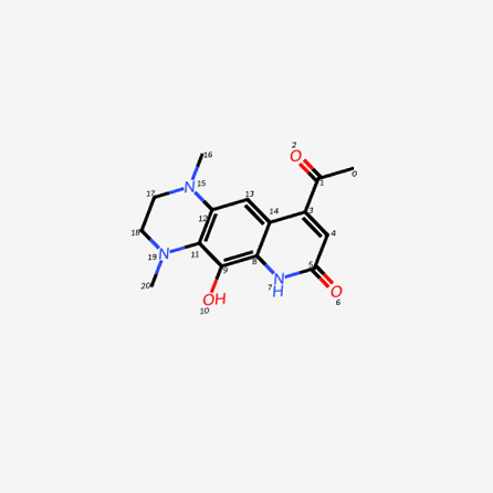 CC(=O)c1cc(=O)[nH]c2c(O)c3c(cc12)N(C)CCN3C